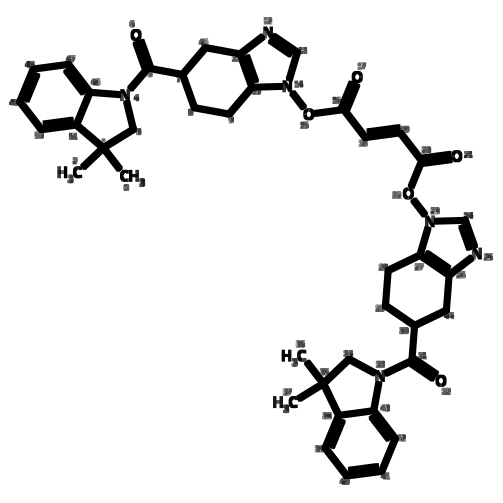 CC1(C)CN(C(=O)C2CCc3c(ncn3OC(=O)/C=C/C(=O)On3cnc4c3CCC(C(=O)N3CC(C)(C)c5ccccc53)C4)C2)c2ccccc21